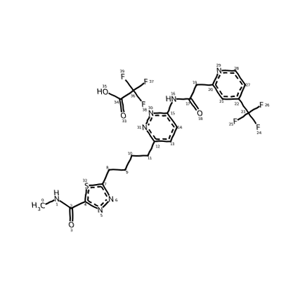 CNC(=O)c1nnc(CCCCc2ccc(NC(=O)Cc3cc(C(F)(F)F)ccn3)nn2)s1.O=C(O)C(F)(F)F